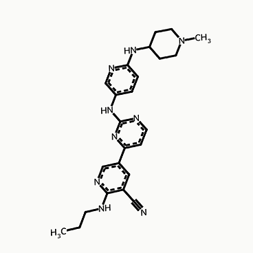 CCCNc1ncc(-c2ccnc(Nc3ccc(NC4CCN(C)CC4)nc3)n2)cc1C#N